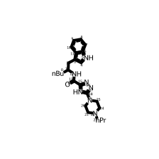 CCCCC(Cc1c[nH]c2ccccc12)NC(=O)c1nnc(N2CCN(CCC)CC2)[nH]1